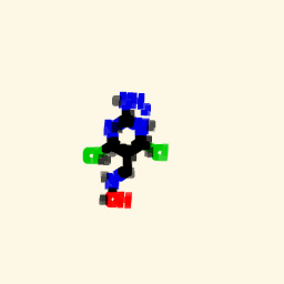 Nc1nc(Cl)c(C=NO)c(Cl)n1